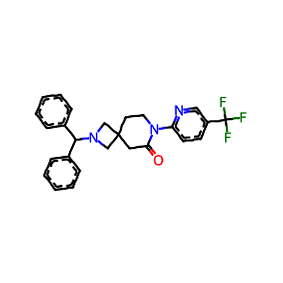 O=C1CC2(CCN1c1ccc(C(F)(F)F)cn1)CN(C(c1ccccc1)c1ccccc1)C2